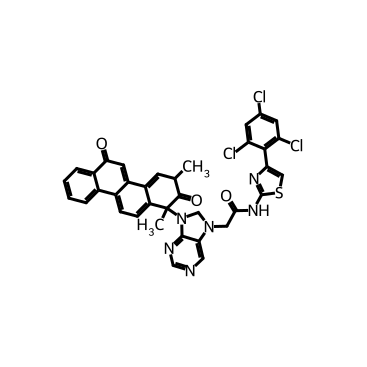 CC1C=c2c(ccc3c2=CC(=O)c2ccccc2-3)C(C)(N2CN(CC(=O)Nc3nc(-c4c(Cl)cc(Cl)cc4Cl)cs3)c3cncnc32)C1=O